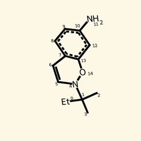 CCC(C)(C)N1C=Cc2ccc(N)cc2O1